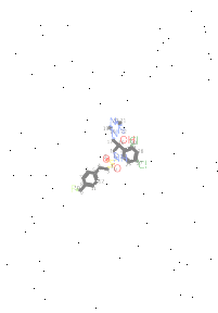 O=S(=O)(CCc1ccc(CF)cc1)NCC(O)(Cn1cncn1)c1ccc(Cl)cc1Cl